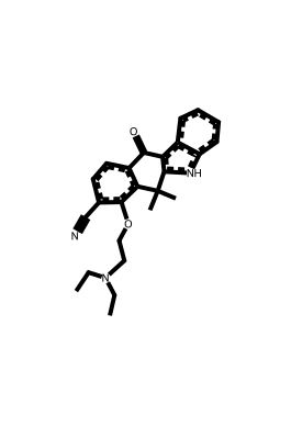 CCN(CC)CCOc1c(C#N)ccc2c1C(C)(C)c1[nH]c3ccccc3c1C2=O